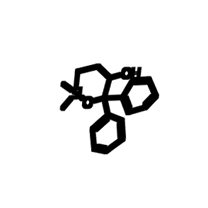 C[Si]1(C)CCC(O)C(c2ccccc2)(c2ccccc2)O1